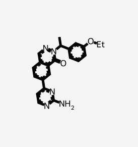 CCOc1cccc(C(C)n2ncc3ccc(-c4ccnc(N)n4)cc3c2=O)c1